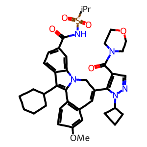 COc1ccc2c(c1)C=C(c1c(C(=O)N3CCOCC3)cnn1C1CCC1)Cn1c-2c(C2CCCCC2)c2ccc(C(=O)NS(=O)(=O)C(C)C)cc21